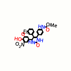 CCOc1cc(C2NC(=O)NC(c3ccc(NC(=O)OC)cc3)=C2c2ccccc2)cc([N+](=O)[O-])c1O